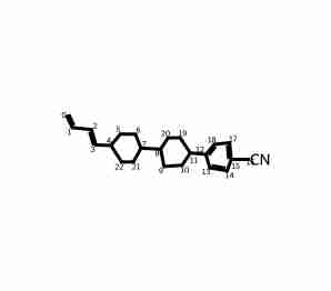 C=C/C=C/C1CCC(C2CCC(c3ccc(C#N)cc3)CC2)CC1